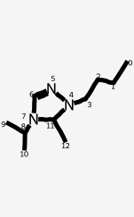 CCCCN1N=CN(C(C)C)C1C